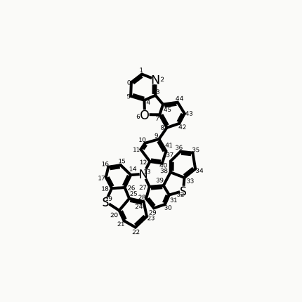 c1cnc2c(c1)oc1c(-c3ccc(N(c4cccc5sc6ccccc6c45)c4cccc5sc6ccccc6c45)cc3)cccc12